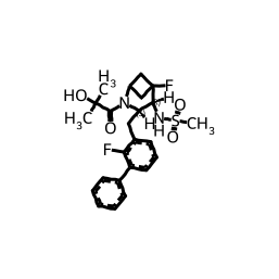 CC(C)(O)C(=O)N1C2CC(F)(C2)[C@H](NS(C)(=O)=O)[C@@H]1Cc1cccc(-c2ccccc2)c1F